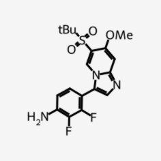 COc1cc2ncc(-c3ccc(N)c(F)c3F)n2cc1S(=O)(=O)C(C)(C)C